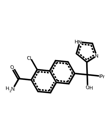 CC(C)C(O)(c1ccc2c(Cl)c(C(N)=O)ccc2c1)c1c[nH]cn1